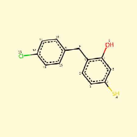 Oc1cc(S)ccc1Cc1ccc(Cl)cc1